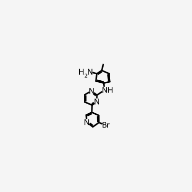 Cc1ccc(Nc2nccc(-c3cncc(Br)c3)n2)cc1N